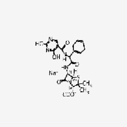 CC1(C)S[C@@H]2[C@H](NC(=O)C(NC(=O)c3cnc(O)nc3O)C3=CCC=CC3)C(=O)N2[C@H]1C(=O)[O-].[Na+]